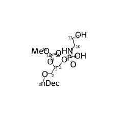 CCCCCCCCCCOCC(COP(=O)(O)NCCO)OC(=O)OC